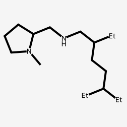 CCC(CC)CCC(CC)CNCC1CCCN1C